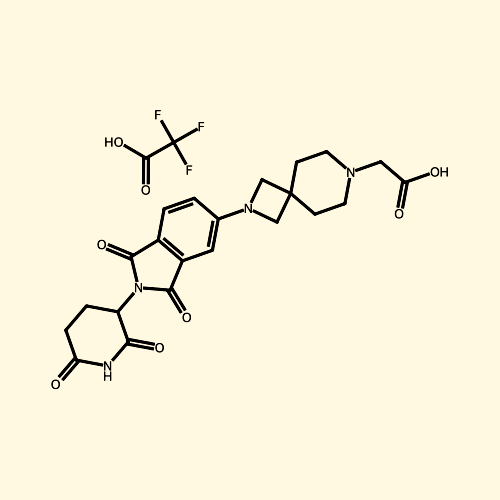 O=C(O)C(F)(F)F.O=C(O)CN1CCC2(CC1)CN(c1ccc3c(c1)C(=O)N(C1CCC(=O)NC1=O)C3=O)C2